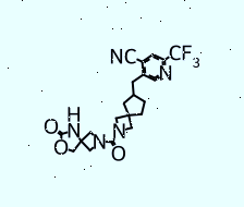 N#Cc1cc(C(F)(F)F)ncc1CC1CCC2(C1)CN(C(=O)N1CC3(COC(=O)N3)C1)C2